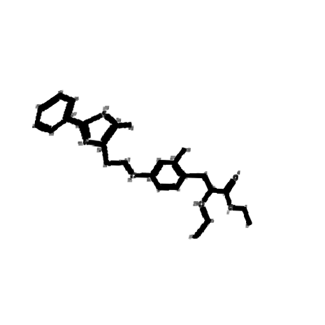 CCOC(=O)C(Cc1ccc(OCCc2nc(-c3ccccc3)sc2C)cc1C)OCC